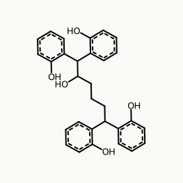 Oc1ccccc1C(CCCC(O)C(c1ccccc1O)c1ccccc1O)c1ccccc1O